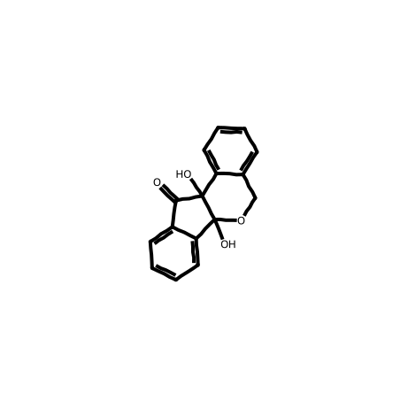 O=C1c2ccccc2C2(O)OCc3ccccc3C12O